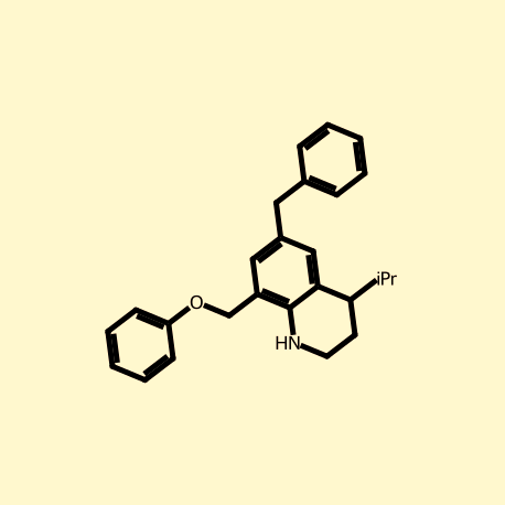 CC(C)C1CCNc2c(COc3ccccc3)cc(Cc3ccccc3)cc21